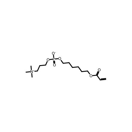 C=CC(=O)OCCCCCCOP(=O)([O-])OCCC[N+](C)(C)C